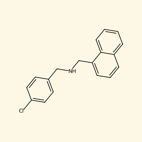 Clc1ccc(CNCc2cccc3ccccc23)cc1